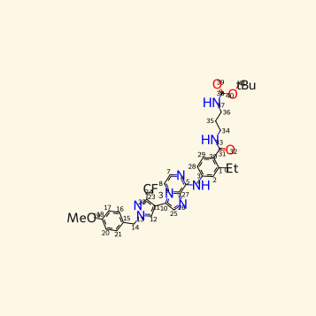 CCc1cc(Nc2nccn3c(-c4cn(Cc5ccc(OC)cc5)nc4C(F)(F)F)cnc23)ccc1C(=O)NCCCNC(=O)OC(C)(C)C